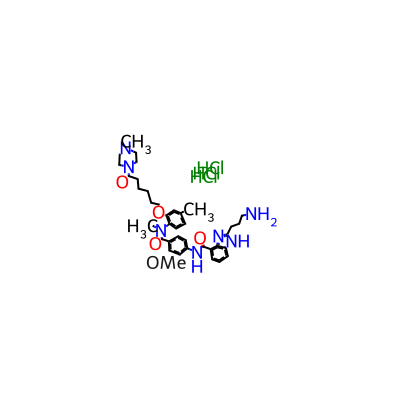 COc1cc(C(=O)N(C)c2ccc(C)cc2OCCCCCC(=O)N2CCN(C)CC2)ccc1NC(=O)c1cccc2[nH]c(CCCN)nc12.Cl.Cl.Cl